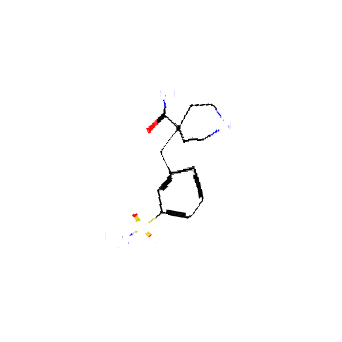 NC(=O)C1(Cc2cccc(S(N)(=O)=O)c2)CCNCC1